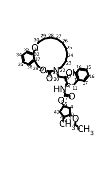 CCO[C@@H]1C[C@H](OC(=O)N[C@@H](Cc2ccccc2)[C@H](O)CN2CCCCCCCCCOc3ccccc3COC2=O)CC1C